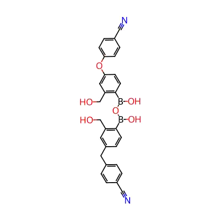 N#Cc1ccc(Cc2ccc(B(O)OB(O)c3ccc(Oc4ccc(C#N)cc4)cc3CO)c(CO)c2)cc1